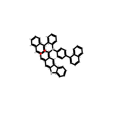 c1ccc(N(c2ccc(-c3cccc4ccccc34)cc2)c2cncc3cc4oc5ccccc5c4cc23)c(-c2cccc3ccccc23)c1